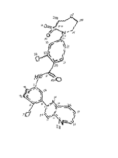 O=C(Nc1ccc(Cl)c(-c2ccc3ncccc3n2)c1)c1ccc(N2CCCCS2(=O)=O)cc1Cl